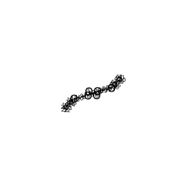 O=C(CCC(=O)OCCCCCCOc1ccc(-c2ccccc2)cc1)OCCCCCCOc1ccc(-c2ccccc2)cc1